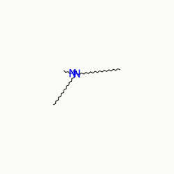 CCCCCCCCCCCCCCCCCCCN1C=CN(CCCC)C1CCCCCCCCCCCCCCCC